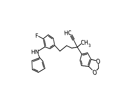 C#CC(C)(CCCc1ccc(F)c(Nc2ccccc2)c1)c1ccc2c(c1)OCO2